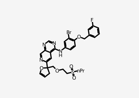 CCCS(=O)(=O)CCOCC1(c2cc3c(Nc4ccc(OCc5cccc(F)c5)c(Br)c4)ncnc3cn2)CC=CO1